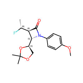 COc1ccc(N2C(=O)[C@H]([C@@H](C)F)[C@H]2[C@H]2COC(C)(C)O2)cc1